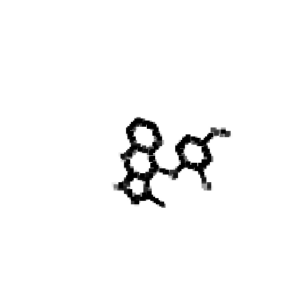 COc1ccc(Oc2c3ccccc3nc3[nH]nc(C)c23)c(Cl)c1